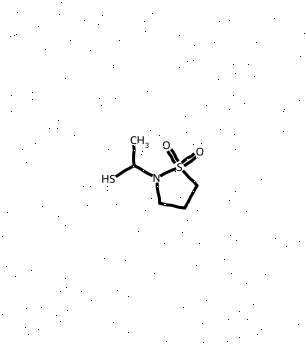 CC(S)N1CCCS1(=O)=O